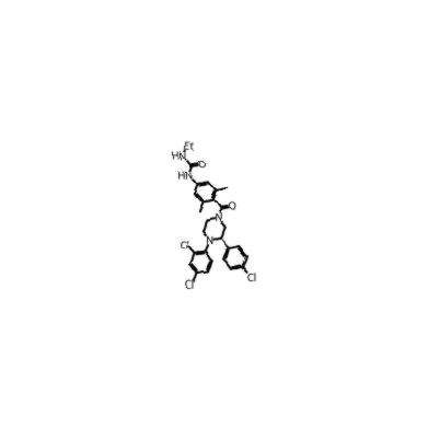 CCNC(=O)Nc1cc(C)c(C(=O)N2CCN(c3ccc(Cl)cc3Cl)[C@H](c3ccc(Cl)cc3)C2)c(C)c1